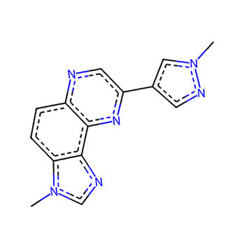 Cn1cc(-c2cnc3ccc4c(ncn4C)c3n2)cn1